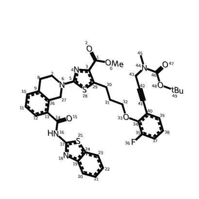 COC(=O)c1nc(N2CCc3cccc(C(=O)Nc4nc5ccccc5s4)c3C2)sc1CCCOc1c(F)cccc1C#CCN(C)C(=O)OC(C)(C)C